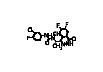 C[C@@H](c1n[nH]c(=O)c2cc(F)c(F)cc12)N(C)C(=O)Nc1ccc(F)c(Cl)c1